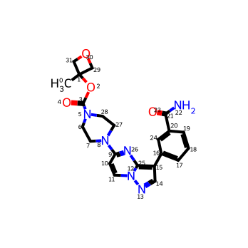 CC1(OC(=O)N2CCN(c3ccn4ncc(-c5cccc(C(N)=O)c5)c4n3)CC2)COC1